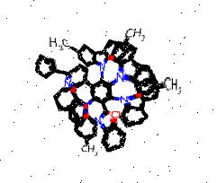 Cc1ccc2c(c1)c1ccccc1n2-c1c(-c2nc3ccccc3o2)c(-n2c3ccccc3c3cc(C)ccc32)c(-n2c3ccccc3c3cc(C)ccc32)c(-n2c3ccccc3c3cc(C)ccc32)c1-c1ccc(-c2ccccc2)nc1-c1ccccc1